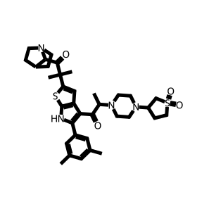 Cc1cc(C)cc(-c2[nH]c3sc(C(C)(C)C(=O)C4C5CCN4CC5)cc3c2C(=O)C(C)N2CCN(C3CCS(=O)(=O)C3)CC2)c1